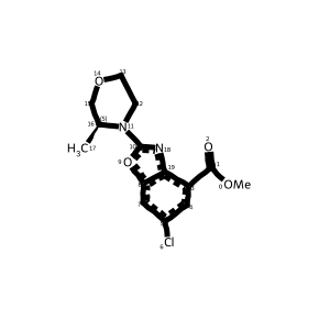 COC(=O)c1cc(Cl)cc2oc(N3CCOC[C@@H]3C)nc12